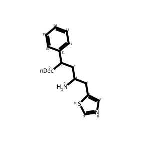 CCCCCCCCCCC(CC(N)Cc1cncs1)c1ccccc1